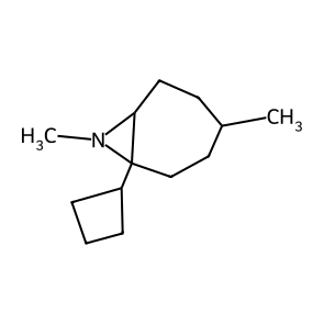 CC1CCC2N(C)C2(C2CCC2)CC1